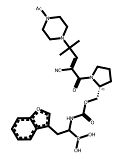 CC(=O)N1CCN(C(C)(C)C=C(C#N)C(=O)N2CCC[C@@H]2COC(=O)NC(Cc2coc3ccccc23)B(O)O)CC1